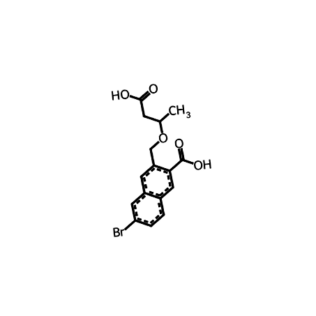 CC(CC(=O)O)OCc1cc2cc(Br)ccc2cc1C(=O)O